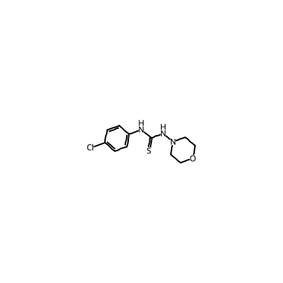 S=C(Nc1ccc(Cl)cc1)NN1CCOCC1